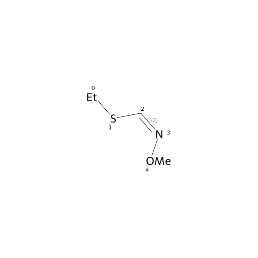 CCS/C=N\OC